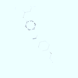 CCC[C@H]1CC[C@H](C(=O)Oc2ccc(CC(C)CC)cc2)CC1